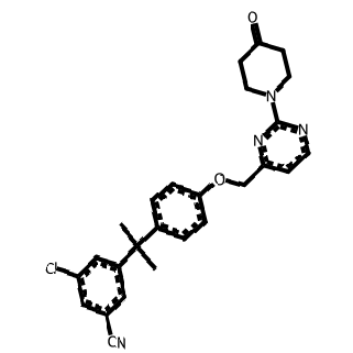 CC(C)(c1ccc(OCc2ccnc(N3CCC(=O)CC3)n2)cc1)c1cc(Cl)cc(C#N)c1